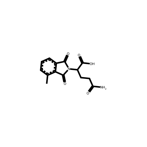 Cc1cccc2c1C(=O)N(C(CCC(N)=O)C(=O)O)C2=O